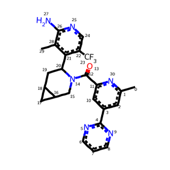 Cc1cc(-c2ncccn2)cc(C(=O)N2CC3CC3CC2c2c(C(F)(F)F)cnc(N)c2C)n1